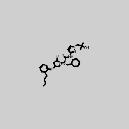 CCCCc1ccccc1OC1=CC(=O)N([C@@H](CC2CCCCC2)C(=O)Nc2ccn(CC(C)(C)O)n2)C1